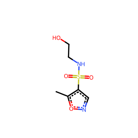 Cc1oncc1S(=O)(=O)NCCO